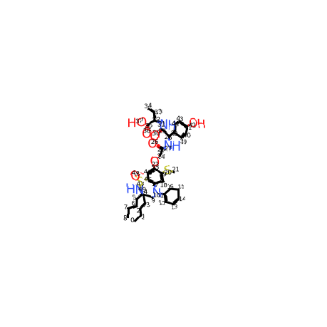 CCCCC1(CCCC)CN(C2=CC=CCC2)c2cc(SC)c(OCC(=O)NC(C(=O)NC(CC)C(=O)O)c3ccc(O)cc3)cc2[S+]([O-])N1